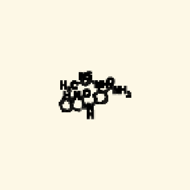 Cc1cc(Nc2cc(N[C@H](Cc3ccccc3)C(N)=O)ccc2C(N)=O)sn1